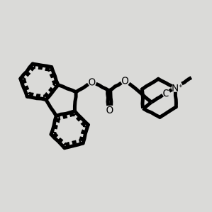 C[N+]12CCC(CC1)C(OC(=O)OC1c3ccccc3-c3ccccc31)C2